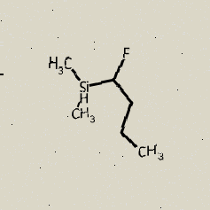 CCCC(F)[SiH](C)C